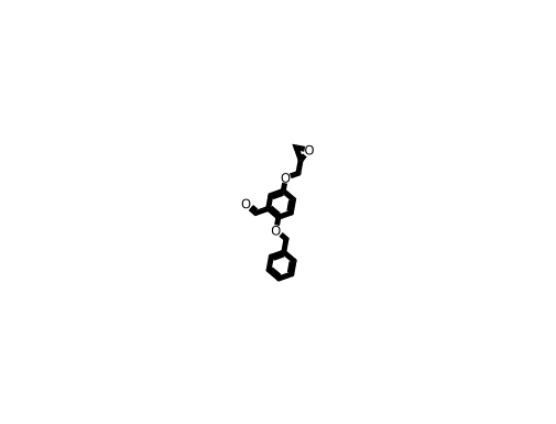 O=Cc1cc(OCC2CO2)ccc1OCc1ccccc1